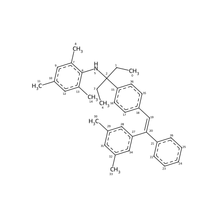 CCC(CC)(Nc1c(C)cc(C)cc1C)c1ccc(C=C(c2ccccc2)c2cc(C)cc(C)c2)cc1